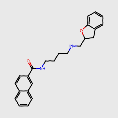 O=C(NCCCCNCC1Cc2ccccc2O1)c1ccc2ccccc2c1